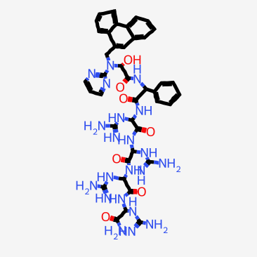 N=C(N)NC(NC(=O)C(NC(=N)N)NC(=O)C(NC(=N)N)NC(=O)C(NC(=N)N)NC(=O)C(NC(=O)C(O)N(Cc1cc2ccccc2c2ccccc12)c1ncccn1)c1ccccc1)C(N)=O